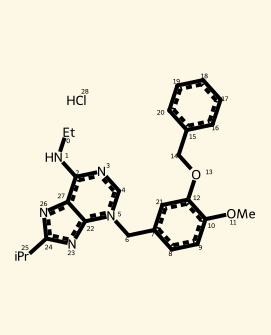 CCNc1ncn(Cc2ccc(OC)c(OCc3ccccc3)c2)c2nc(C(C)C)nc1-2.Cl